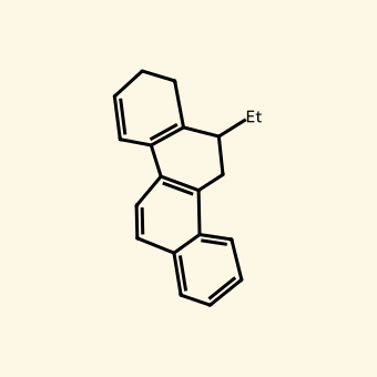 CCC1Cc2c(ccc3ccccc23)C2=C1CCC=C2